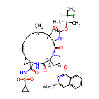 COc1cc2ccccc2c(O[C@@H]2C[C@H]3C(=O)N[C@]4(C(=O)NS(=O)(=O)C5CC5)CC4/C=C\CC[C@H](C)C[C@@H](C)C(NC(=O)OC(C)(C)C(C)(F)F)C(=O)N3C2)n1